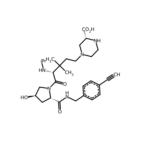 C#Cc1ccc(CNC(=O)[C@@H]2C[C@@H](O)CN2C(=O)[C@H](NC(C)C)C(C)(C)CCN2CCN[C@@H](C(=O)O)C2)cc1